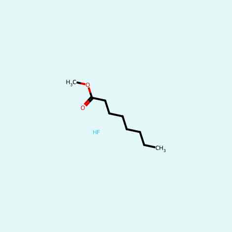 CCCCCCCC(=O)OC.F